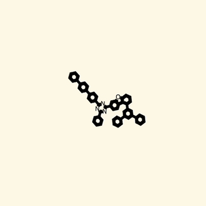 c1ccc(-c2ccc(-c3ccc(-c4nc(-c5ccccc5)nc(-c5ccc6c(c5)oc5cccc(-c7cc(-c8ccccc8)cc(-c8ccccc8)c7)c56)n4)cc3)cc2)cc1